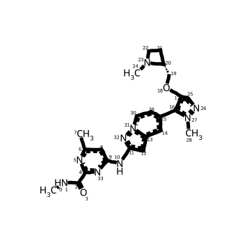 CNC(=O)c1nc(C)cc(Nc2cc3cc(-c4c(OC[C@H]5CCN5C)cnn4C)ccn3n2)n1